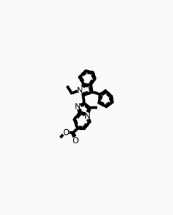 CCn1c(-c2nc3cc(C(=O)OC)ccn3c2C)c(-c2ccccc2)c2ccccc21